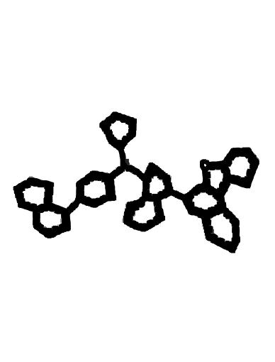 c1ccc(N(c2ccc(-c3cccc4ccccc34)cc2)c2ccc(-c3cc4ccccc4c4c3oc3ccccc34)c3ccccc23)cc1